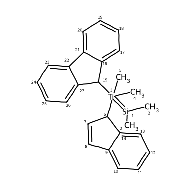 C[Si](C)=[Ti]([CH3])([CH3])([CH]1C=Cc2ccccc21)[CH]1c2ccccc2-c2ccccc21